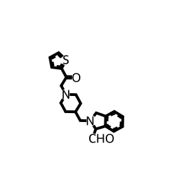 O=CC1c2ccccc2CN1CC1CCN(CC(=O)c2cccs2)CC1